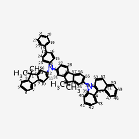 CC1(C)c2ccccc2-c2ccc(N(c3ccc(-c4ccccc4)cc3)c3ccc4c(c3)C(C)(C)c3cc(-n5c6ccccc6c6c7ccccc7ccc65)ccc3-4)cc21